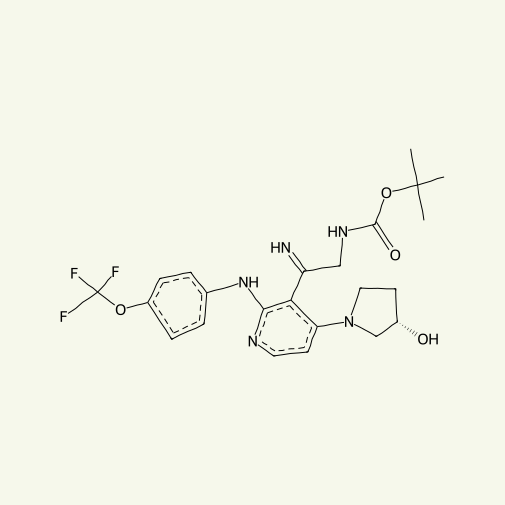 CC(C)(C)OC(=O)NCC(=N)c1c(N2CC[C@H](O)C2)ccnc1Nc1ccc(OC(F)(F)F)cc1